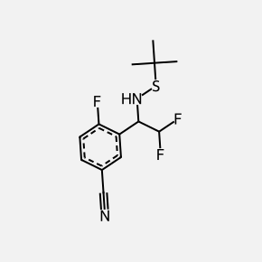 CC(C)(C)SNC(c1cc(C#N)ccc1F)C(F)F